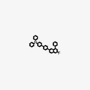 Fc1cc(-c2ccccc2)c2cc(-c3ccc(-c4ccc(N(c5ccccc5)c5ccccc5)cc4)cc3)ccc2c1